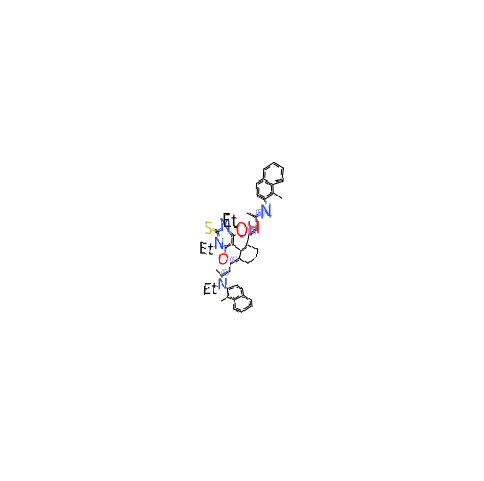 CCN(/C(C)=C/C=C1\CCCC(/C=C/C(C)=N/c2ccc3ccccc3c2C)=C1c1c(O)n(CC)c(=S)n(CC)c1=O)c1ccc2ccccc2c1C